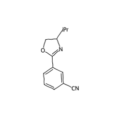 CC(C)C1COC(c2cccc(C#N)c2)=N1